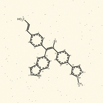 CCC(=C(c1ccc(C=CC(=O)O)cc1)c1ccc2[nH]ncc2c1)c1ccc(-c2cnn(C)c2)cc1